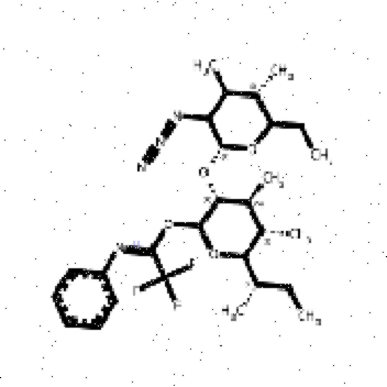 CCC1O[C@H](O[C@H]2C(O/C(=N/c3ccccc3)C(F)(F)F)OC([C@@H](C)CC)[C@@H](C)[C@@H]2C)C(N=[N+]=[N-])C(C)[C@@H]1C